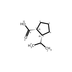 CC(C)[C@H]1CCC[C@H]1C(=O)O